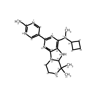 CN(c1nc(-c2cnc(N)nc2)nc2c1NC1N2CCOC1(C)C)C1CCC1